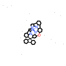 c1ccc2c(c1)-c1ccccc1C21c2ccc3c4c2-n2c5c1cccc5c1ccc[n+](c12)[N+]41c2c(ccc4c5cccc6c7ccc[n+]1c7n(c24)c56)O3